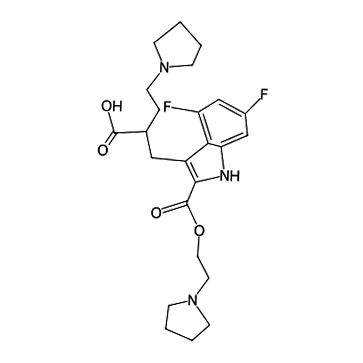 O=C(OCCN1CCCC1)c1[nH]c2cc(F)cc(F)c2c1CC(CCN1CCCC1)C(=O)O